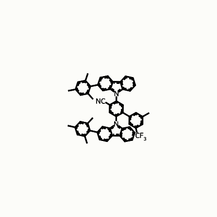 Cc1cc(-c2cc(-n3c4ccccc4c4ccc(-c5c(C)cc(C)cc5C)cc43)c(C#N)cc2-n2c3ccccc3c3ccc(-c4c(C)cc(C)cc4C)cc32)cc(C(F)(F)F)c1